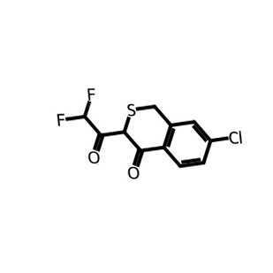 O=C1c2ccc(Cl)cc2CSC1C(=O)C(F)F